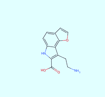 NCCc1c(C(=O)O)[nH]c2ccc3ccoc3c12